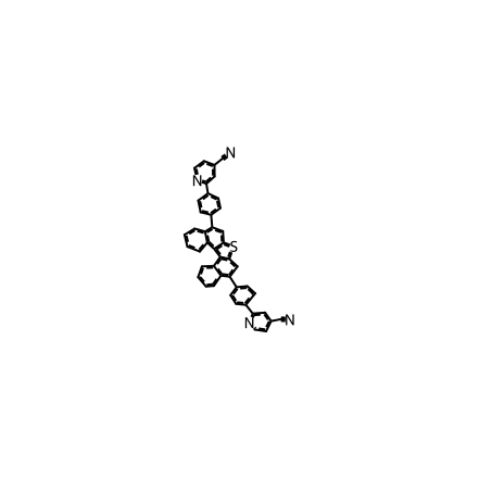 N#Cc1ccnc(-c2ccc(-c3cc4sc5cc(-c6ccc(-c7cc(C#N)ccn7)cc6)c6ccccc6c5c4c4ccccc34)cc2)c1